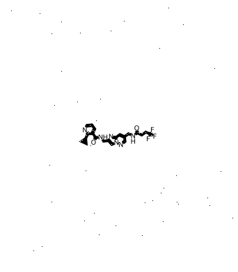 O=C(CCC(F)(F)F)NCc1cnn2cc(CNC(=O)c3cccnc3C3CC3)nc2c1